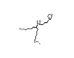 CCCCCCCC(CCCCC)NCCCN1CCOCC1